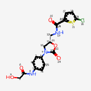 O=C(CO)Nc1ccc(N2C[C@H](CNC(=O)c3ccc(Cl)s3)OC2=O)cc1